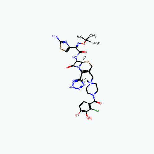 CC(C)(O/N=C(\C(=O)N[C@@H]1C(=O)N2C(c3nn[nH]n3)=C(C[N+]3(C)CCN(C(=O)c4ccc(O)c(O)c4Cl)CC3)CS[C@H]12)c1csc(N)n1)C(=O)O